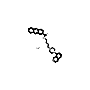 Cl.O=C(NCCCCN1CCN(c2cccc3ccncc23)CC1)c1ccc2cc3ccccc3cc2c1